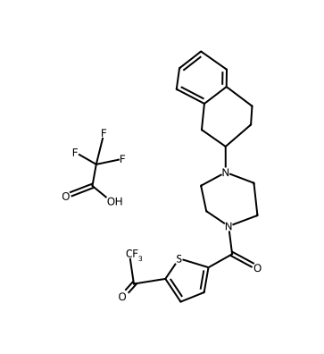 O=C(O)C(F)(F)F.O=C(c1ccc(C(=O)C(F)(F)F)s1)N1CCN(C2CCc3ccccc3C2)CC1